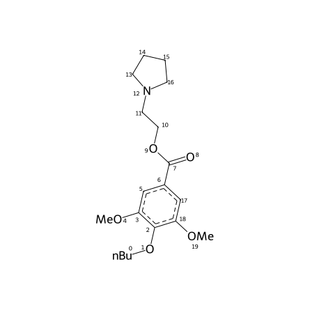 CCCCOc1c(OC)cc(C(=O)OCCN2CCCC2)cc1OC